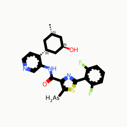 C[C@@H]1C[C@@H](O)C[C@H](c2ccncc2NC(=O)c2nc(-c3c(F)cccc3F)sc2[AsH2])C1